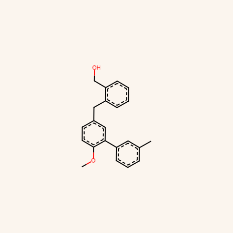 COc1ccc(Cc2ccccc2CO)cc1-c1cccc(C)c1